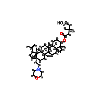 C=C(C)[C@@H]1CC[C@]2(CCN3CCOCC3)CC[C@]3(C)[C@H](CC[C@@H]4[C@@]5(C)CC[C@H](OC(=O)CC(C)(C)CC(=O)O)C(C)(C)[C@@H]5CC[C@]43C)[C@@H]12